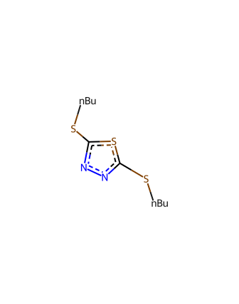 CCCCSc1nnc(SCCCC)s1